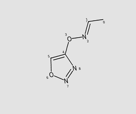 C[C]=NOc1conn1